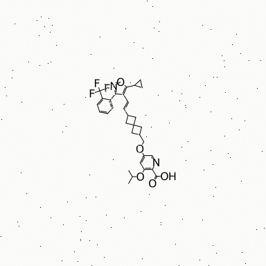 CC(C)Oc1cc(OCC2CC3(CC(C=Cc4c(-c5ccccc5C(F)(F)F)noc4C4CC4)C3)C2)cnc1C(=O)O